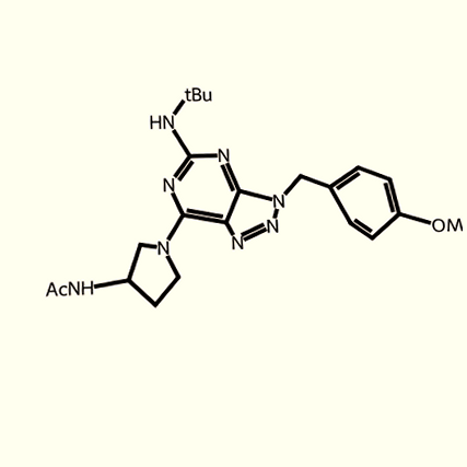 COc1ccc(Cn2nnc3c(N4CCC(NC(C)=O)C4)nc(NC(C)(C)C)nc32)cc1